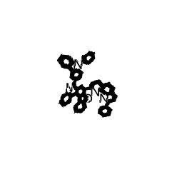 c1ccc(-c2ccc3ccc4ccc(-c5cc6c(-c7ccc8c(c7)c7ccccc7n8-c7ccccc7)nc7ccccc7c6c6c5oc5ccccc56)nc4c3n2)cc1